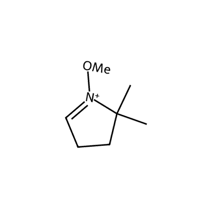 CO[N+]1=CCCC1(C)C